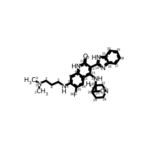 CN(C)CCCNc1cc2[nH]c(=O)c(-c3nc4ccccc4[nH]3)c(N[C@H]3CN4CCC3CC4)c2cc1F